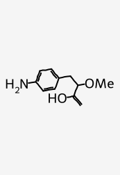 C=C(O)C(Cc1ccc(N)cc1)OC